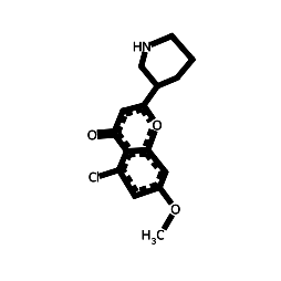 COc1cc(Cl)c2c(=O)cc(C3CCCNC3)oc2c1